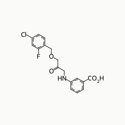 O=C(CNc1cccc(C(=O)O)c1)COCc1ccc(Cl)cc1F